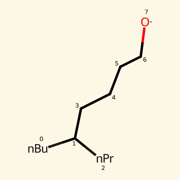 CCCCC(CCC)CCCC[O]